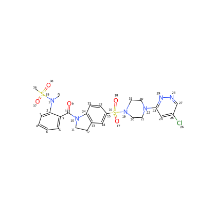 CN(c1ccccc1C(=O)N1CCc2cc(S(=O)(=O)N3CCN(c4cc(Cl)cnn4)CC3)ccc21)S(C)(=O)=O